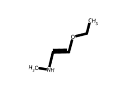 CCOC=CNC